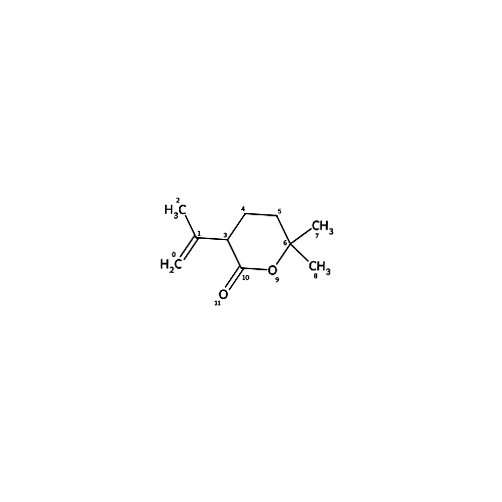 C=C(C)C1CCC(C)(C)OC1=O